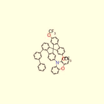 FC(F)(F)Oc1ccc2c(c1)C1(c3cc(OC(F)(F)F)ccc3-2)c2cc(N3c4ccccc4Oc4ccccc43)ccc2-c2c(-c3cccc(-c4ccccc4)c3)cccc21